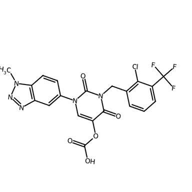 Cn1nnc2cc(-n3cc(OC(=O)O)c(=O)n(Cc4cccc(C(F)(F)F)c4Cl)c3=O)ccc21